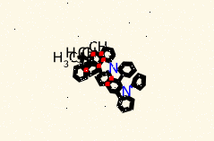 CC1(C)c2ccccc2-c2c(-c3ccccc3N(c3ccccc3-c3cccc4c5ccccc5n(-c5ccccc5)c34)c3cccc4c3-c3ccccc3C4(C)C)cccc21